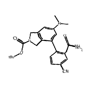 CN(C)c1cc2c(c(-c3ccc(C#N)cc3C(N)=O)c1)CN(C(=O)OC(C)(C)C)C2